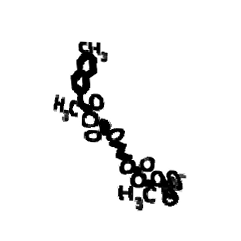 Cc1ccc2cc([C@H](C)C(=O)OCC(=O)OCCCCOC(=O)OC(C)O[N+](=O)[O-])ccc2c1